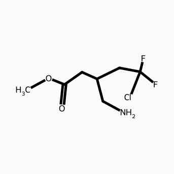 COC(=O)CC(CN)CC(F)(F)Cl